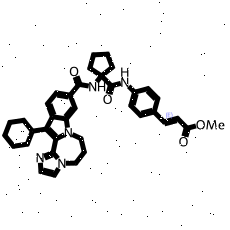 COC(=O)/C=C/c1ccc(NC(=O)C2(NC(=O)c3ccc4c(C5CCCCC5)c5n(c4c3)CCCn3ccnc3-5)CCCC2)cc1